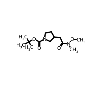 CON(C)C(=O)CC1CCN(C(=O)OC(C)(C)C)C1